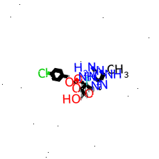 CNc1nc(N)nc2c1ncn2[C@@H]1O[C@H](CO)[C@@H](OC(=O)OCc2ccc(Cl)cc2)[C@]1(F)CN